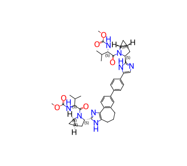 COC(=O)N[C@H](C(=O)N1[C@@H]2C[C@@H]2C[C@H]1c1ncc(-c2ccc(-c3ccc4c(c3)CCCc3[nH]c([C@@H]5C[C@H]6C[C@H]6N5C(=O)[C@@H](NC(=O)OC)C(C)C)nc3-4)cc2)[nH]1)C(C)C